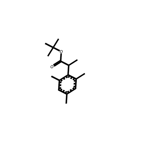 Cc1cc(C)c(C(C)C(=O)OC(C)(C)C)c(C)c1